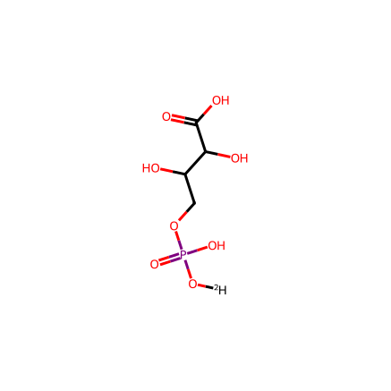 [2H]OP(=O)(O)OCC(O)C(O)C(=O)O